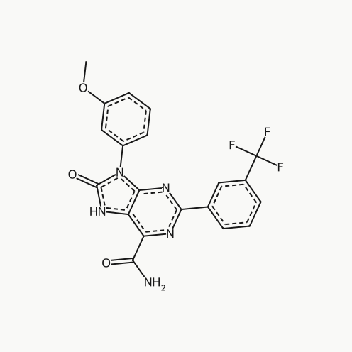 COc1cccc(-n2c(=O)[nH]c3c(C(N)=O)nc(-c4cccc(C(F)(F)F)c4)nc32)c1